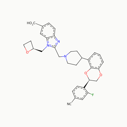 N#Cc1ccc([C@@H]2COc3cccc(C4CCN(Cc5nc6ccc(C(=O)O)cc6n5C[C@@H]5CCO5)CC4)c3O2)c(F)c1